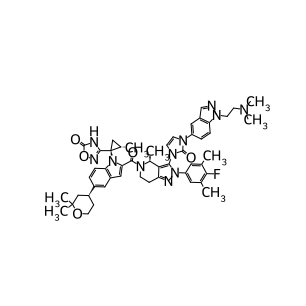 Cc1cc(-n2nc3c(c2-n2ccn(-c4ccc5c(cnn5CCN(C)C)c4)c2=O)[C@H](C)N(C(=O)c2cc4cc([C@H]5CCOC(C)(C)C5)ccc4n2[C@@]2(c4noc(=O)[nH]4)C[C@@H]2C)CC3)cc(C)c1F